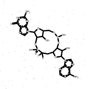 Nc1nc2c(ncn2C2OC3COP(O)OC4C(CC(F)(F)P(=O)(O)OC2C3O)OC(n2cnc3c(N)ncnc32)C4O)c(=O)[nH]1